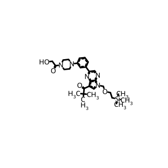 CC(C)(C)C(=O)c1cn(COCC[Si](C)(C)C)c2ncc(-c3cccc(N4CCN(C(=O)CO)CC4)c3)nc12